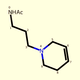 CC(=O)NCCCN1CC=CCC1